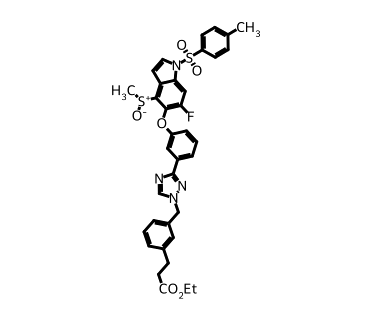 CCOC(=O)CCc1cccc(Cn2cnc(-c3cccc(Oc4c(F)cc5c(ccn5S(=O)(=O)c5ccc(C)cc5)c4[S+](C)[O-])c3)n2)c1